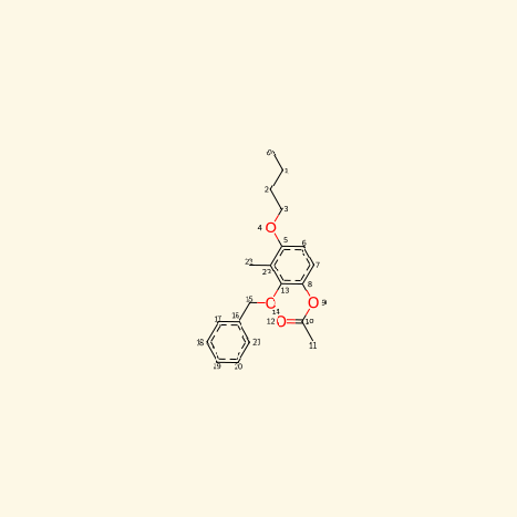 CCCCOc1ccc(OC(C)=O)c(OCc2ccccc2)c1C